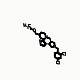 CCOCC1CCN(C[C@H]2CN(Cc3ccc(Cl)cc3Cl)C[C@@H]2c2ccsc2)CC1